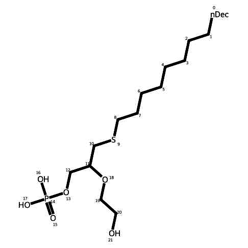 CCCCCCCCCCCCCCCCCCSCC(COP(=O)(O)O)OCCO